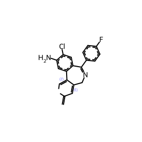 C=C(C)/C=C1/CN=C(c2ccc(F)cc2)c2cc(Cl)c(N)cc2/C1=C/C